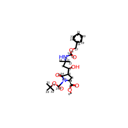 COC(=O)[C@@H]1CC(C(O)CC(C)(C)NC(=O)OCc2ccccc2)C(=O)N1C(=O)OC(C)(C)C